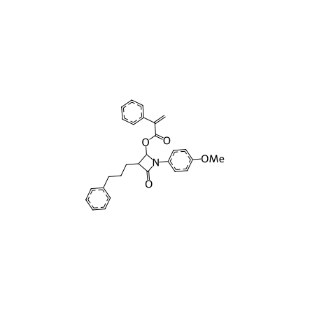 C=C(C(=O)OC1C(CCCc2ccccc2)C(=O)N1c1ccc(OC)cc1)c1ccccc1